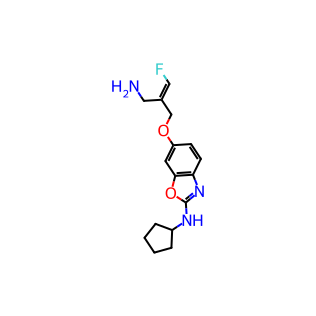 NC/C(=C\F)COc1ccc2nc(NC3CCCC3)oc2c1